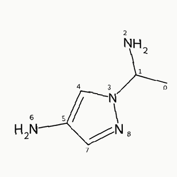 CC(N)n1cc(N)cn1